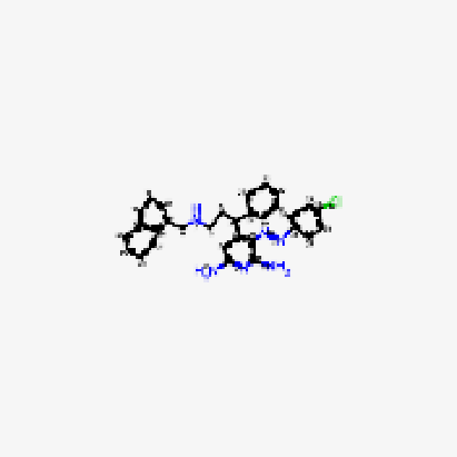 Nc1cc(C(CCNCc2cccc3ccccc23)c2ccccc2)c(N=Nc2ccc(Cl)cc2)c(N)n1